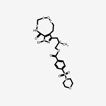 CCn1nc(C[C@@H](C)COC(=O)c2ccc(S(=O)(=O)N3CCOCC3)cc2)c2c1C(=O)NCCCOCCC2